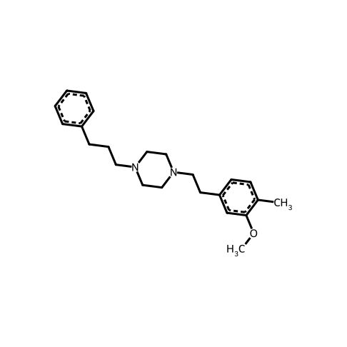 COc1cc(CCN2CCN(CCCc3ccccc3)CC2)ccc1C